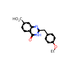 CCOc1ccc(Cc2nc3cc(C(=O)O)ccc3c(=O)[nH]2)cc1